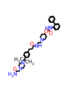 CC(C)(c1ccc(CCC(=O)NCCN2CCC(OC(=O)Nc3ccccc3-c3ccccc3)CC2)cc1)N1CCN(CC(N)=O)CC1